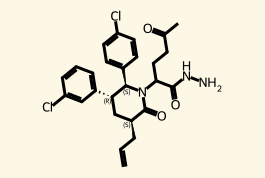 C=CC[C@H]1C[C@H](c2cccc(Cl)c2)[C@@H](c2ccc(Cl)cc2)N(C(CCC(C)=O)C(=O)NN)C1=O